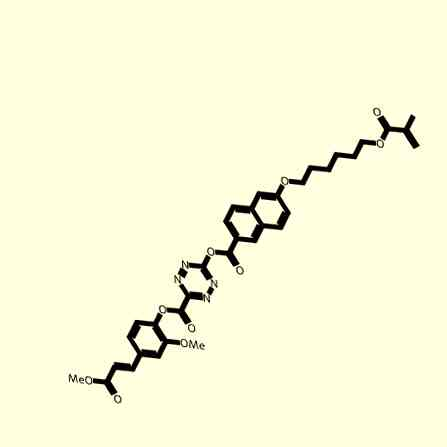 C=C(C)C(=O)OCCCCCCOc1ccc2cc(C(=O)Oc3nnc(C(=O)Oc4ccc(/C=C/C(=O)OC)cc4OC)nn3)ccc2c1